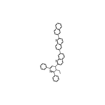 CCC1C(c2ccccc2)=NC(c2ccccc2)=CC1c1ccc2ccc(-c3ccc4nc(-c5ccc6ccccc6c5)ccc4c3)cc2n1